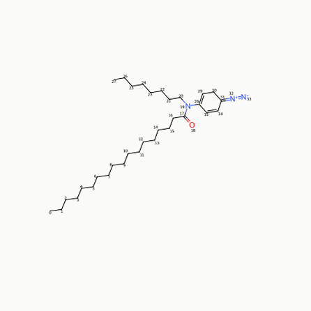 CCCCCCCCCCCCCCCCCC(=O)N(CCCCCCCC)C1=CCC(=[N+]=[N-])C=C1